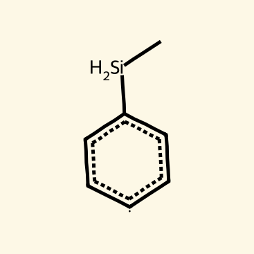 C[SiH2]c1cc[c]cc1